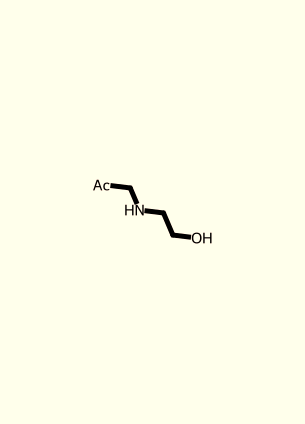 CC(=O)CNCCO